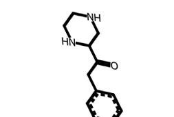 O=C(Cc1ccncc1)C1CNCCN1